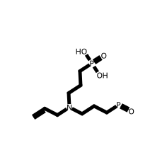 C=CCN(CCCP=O)CCCP(=O)(O)O